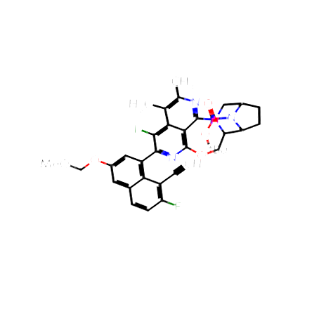 C#Cc1c(F)ccc2cc(OCOC)cc(-c3nc4c5c(nc(C)c(C)c5c3F)N3CC5CCC(C3CO4)N5C(=O)OC(C)(C)C)c12